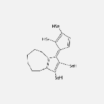 [SeH]C1=C([SeH])C(=C2C([SeH])=C([SeH])C3=C2CCCCCC3)C=C1